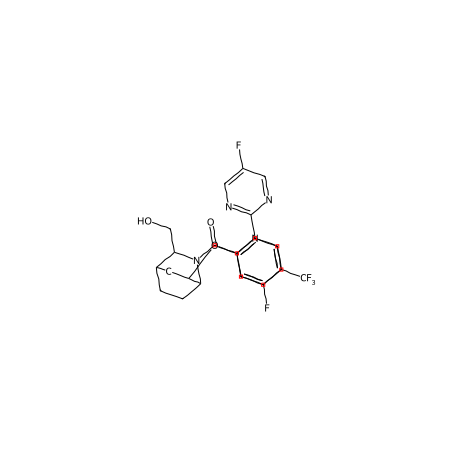 O=C(c1cc(F)ccc1-c1ncc(F)cn1)N1C(CO)C2CCC1C(Oc1ccc(C(F)(F)F)cn1)C2